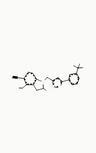 CC1Cc2c(ccc(C#N)c2CF)N1Cc1cc(-c2cccc(C(F)(F)F)c2)on1